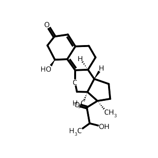 CC(O)C(=O)[C@]1(C)CC[C@H]2[C@@H]3CCC4=CC(=O)C[C@H](O)C4=C3CC[C@@]21C